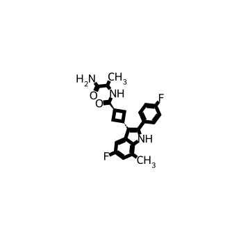 Cc1cc(F)cc2c1[nH]c(-c1ccc(F)cc1)c2[C@H]1C[C@H](C(=O)NC(C)C(N)=O)C1